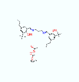 CC(=O)[O-].CC(=O)[O-].CCCc1cc(C=NCCCN=Cc2cc(CCC)cc(C(C)(C)C)c2O)c(O)c(C(C)(C)C)c1.[Co+2]